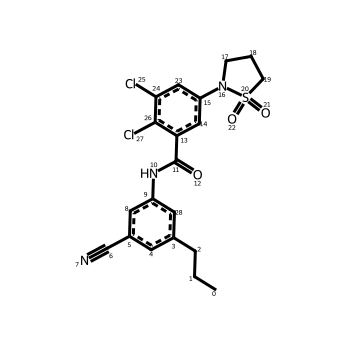 CCCc1cc(C#N)cc(NC(=O)c2cc(N3CCCS3(=O)=O)cc(Cl)c2Cl)c1